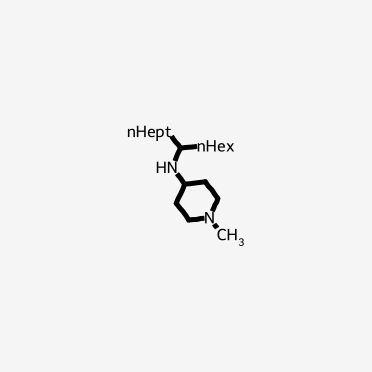 CCCCCCCC(CCCCCC)NC1CCN(C)CC1